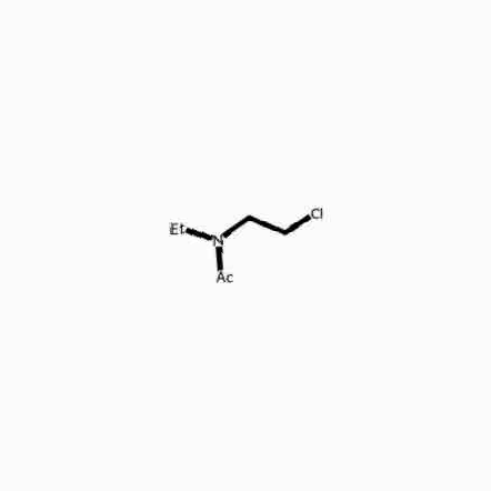 CCN(CCCl)C(C)=O